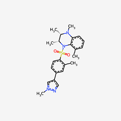 Cc1cc(-c2cnn(C)c2)ccc1S(=O)(=O)N1c2c(C)cccc2N(C)[C@@H](C)[C@H]1C